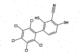 N#Cc1c(S)ccc(-c2c(Cl)c(Cl)c(Cl)c(Cl)c2Cl)c1S